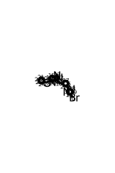 Brc1cnc(-c2cccc(Cc3nnc4ccc(Oc5ccccc5)nn34)c2)nc1